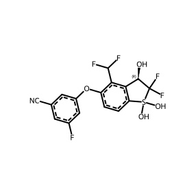 N#Cc1cc(F)cc(Oc2ccc3c(c2C(F)F)[C@@H](O)C(F)(F)S3(O)O)c1